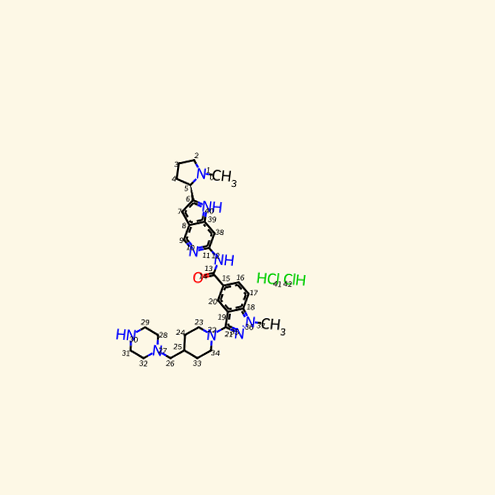 CN1CCC[C@@H]1c1cc2cnc(NC(=O)c3ccc4c(c3)c(N3CCC(CN5CCNCC5)CC3)nn4C)cc2[nH]1.Cl.Cl